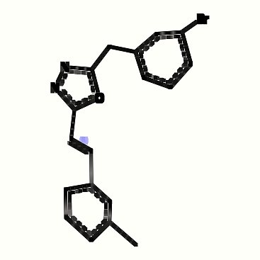 Cc1cccc(/C=C/c2nnc(Cc3cccc(Br)c3)o2)c1